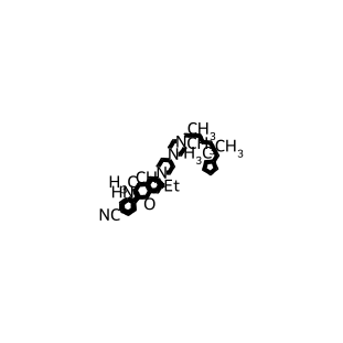 CCc1cc2c(cc1N1CCC(N3CCN(CC(C)(C)CCCC(C)(C)CC4CCCC4)CC3)CC1)C(C)(C)c1[nH]c3cc(C#N)ccc3c1C2=O